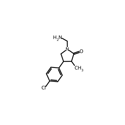 CC1C(=O)N(CN)CC1c1ccc(Cl)cc1